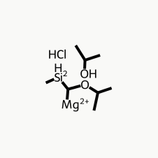 CC(C)O.C[SiH2][CH]([Mg+2])OC(C)C.Cl